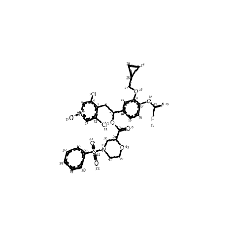 O=C(OC(Cc1c(Cl)c[n+]([O-])cc1Cl)c1ccc(OC(F)F)c(OCC2CC2)c1)C1CN(S(=O)(=O)c2ccccc2)CCO1